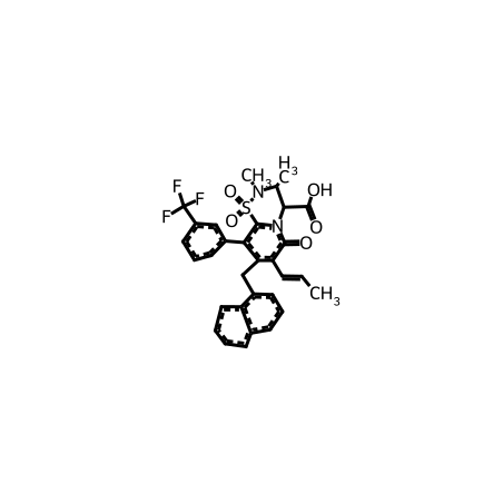 CC=Cc1c(Cc2cccc3ccccc23)c(-c2cccc(C(F)(F)F)c2)c2n(c1=O)C(C(=O)O)C(C)N(C)S2(=O)=O